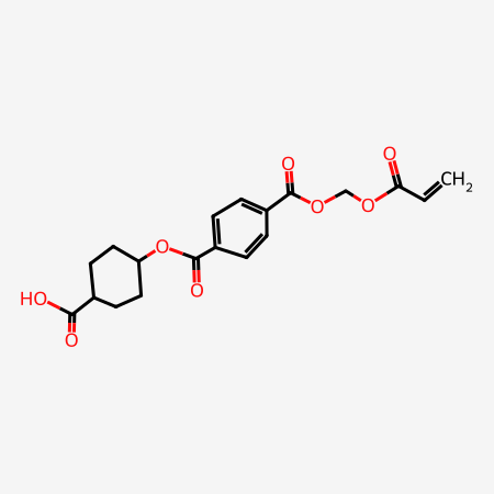 C=CC(=O)OCOC(=O)c1ccc(C(=O)OC2CCC(C(=O)O)CC2)cc1